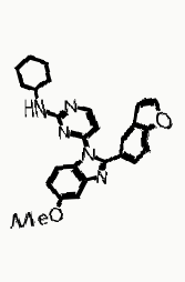 COc1ccc2c(c1)nc(-c1ccc3occc3c1)n2-c1ccnc(NC2CCCCC2)n1